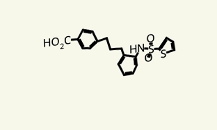 O=C(O)c1ccc(CCCc2ccccc2NS(=O)(=O)c2cccs2)cc1